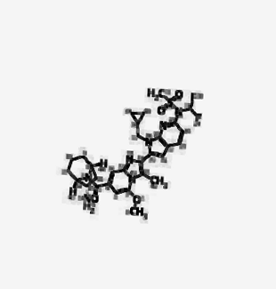 COc1cc(C(=O)N2[C@@H]3CCC[C@H]2[C@@H](N)C3)cc2nc(-c3cc4ccc(N(C(F)F)S(C)(=O)=O)nc4n3CC3CC3)c(C)n12